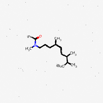 CC(C)COC(C)C(C)CCC(C)CCCN(C)C(=O)C(C)C